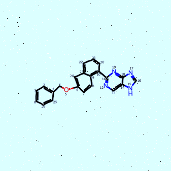 c1ccc(COc2ccc3c(-c4ncc5[nH]cnc5n4)cccc3c2)cc1